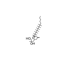 C=C(C)CC(CC(C)(O)CO)O[Si](C)(C)C(C)(C)C(C)(C)C(C)(C)C(C)(C)C(C)(C)C(C)(C)CCCCC